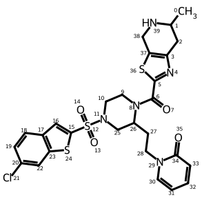 CC1Cc2nc(C(=O)N3CCN(S(=O)(=O)c4cc5ccc(Cl)cc5s4)CC3CCn3ccccc3=O)sc2CN1